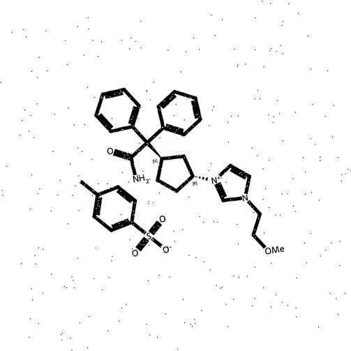 COCCn1cc[n+]([C@@H]2CC[C@@H](C(C(N)=O)(c3ccccc3)c3ccccc3)C2)c1.Cc1ccc(S(=O)(=O)[O-])cc1